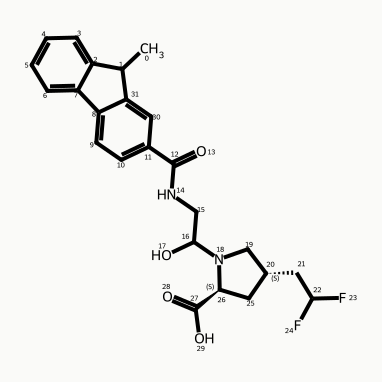 CC1c2ccccc2-c2ccc(C(=O)NCC(O)N3C[C@H](CC(F)F)C[C@H]3C(=O)O)cc21